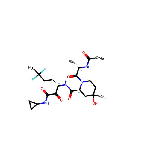 COC(=O)N[C@H](C(=O)N1CCC(O)(C(F)(F)F)C[C@H]1C(=O)N[C@@H](CCC(C)(F)F)C(=O)C(=O)NC1CC1)C(C)(C)C